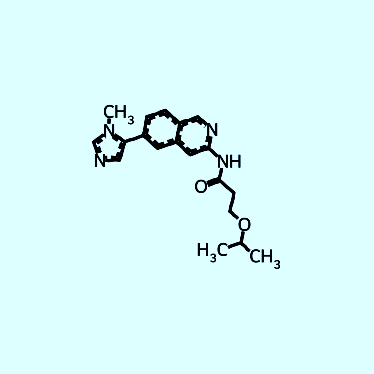 CC(C)OCCC(=O)Nc1cc2cc(-c3cncn3C)ccc2cn1